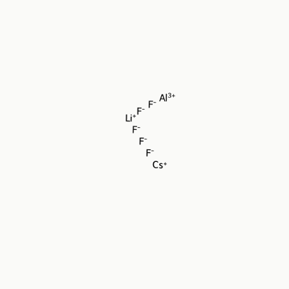 [Al+3].[Cs+].[F-].[F-].[F-].[F-].[F-].[Li+]